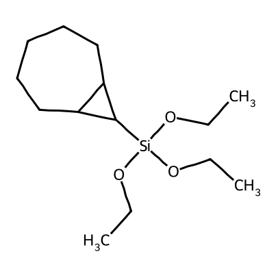 CCO[Si](OCC)(OCC)C1C2CCCCCC21